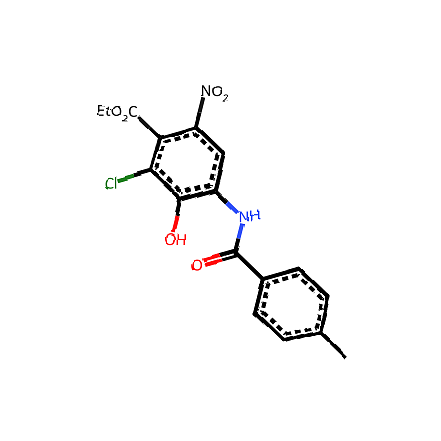 CCOC(=O)c1c([N+](=O)[O-])cc(NC(=O)c2ccc(C)cc2)c(O)c1Cl